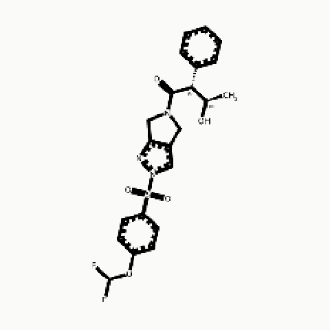 C[C@@H](O)[C@H](C(=O)N1Cc2cn(S(=O)(=O)c3ccc(OC(F)F)cc3)nc2C1)c1ccccc1